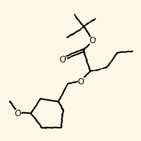 CCCC(OCC1CCCC(OC)C1)C(=O)OC(C)(C)C